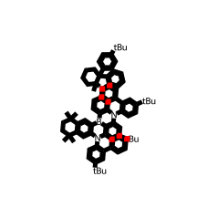 CC(C)(C)c1ccc(C23CCCCC2(C)N(c2ccc4c(c2)N(c2ccc(C(C)(C)C)cc2-c2ccccc2)c2cc(C(C)(C)C)cc5c2B4c2cc4c(cc2N5c2ccc(C(C)(C)C)cc2-c2ccccc2)C(C)(C)CCC4(C)C)c2ccccc23)cc1